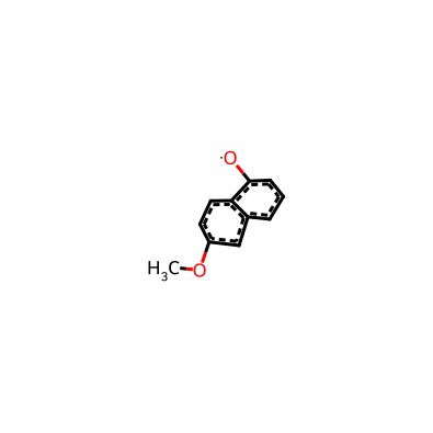 COc1ccc2c([O])cccc2c1